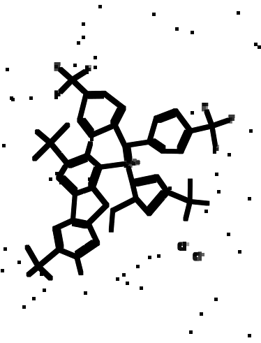 CCC1C=C(C(C)(C)C)C=[C]1[Zr+2](=[C](c1ccc(C(F)(F)F)cc1)c1ccc(C(F)(F)F)cc1)[c]1c(C)c(C(C)(C)C)cc2c1Cc1cc(C)c(C(C)(C)C)cc1-2.[Cl-].[Cl-]